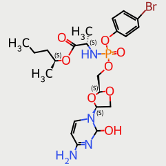 CCC[C@H](C)OC(=O)[C@H](C)NP(=O)(OC[C@H]1OC[C@@H](N2C=CC(N)=NC2O)O1)Oc1ccc(Br)cc1